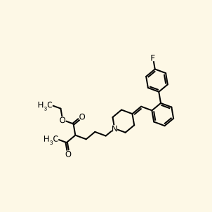 CCOC(=O)C(CCCN1CCC(=Cc2ccccc2-c2ccc(F)cc2)CC1)C(C)=O